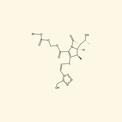 CC(C)OC(=O)OCOC(=O)C1=C(S/C=C\c2scnc2CO)[C@H](C)[C@@H]2[C@@H]([C@@H](C)O)C(=O)N12